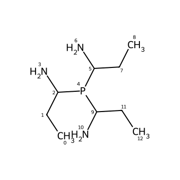 CCC(N)P(C(N)CC)C(N)CC